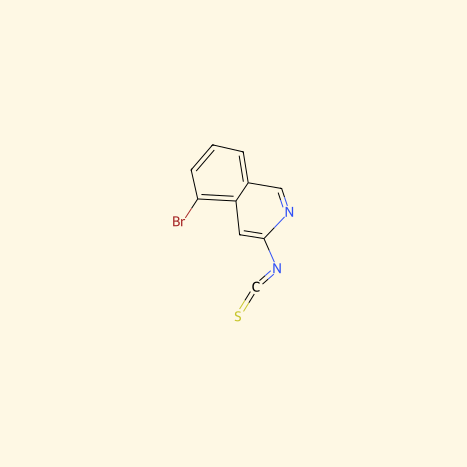 S=C=Nc1cc2c(Br)cccc2cn1